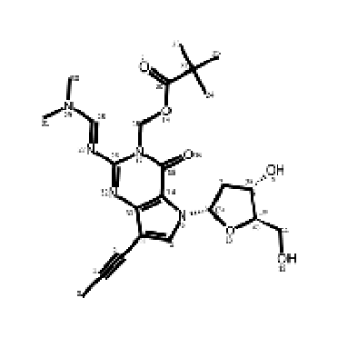 CC#Cc1cn([C@@H]2C[C@H](O)[C@@H](CO)O2)c2c(=O)n(COC(=O)C(C)(C)C)c(N=CN(C)C)nc12